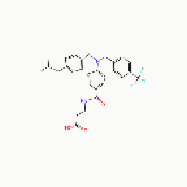 CC(C)Cc1ccc(CN(Cc2ccc(C(F)(F)F)cc2)c2ccc(C(=O)NCCC(=O)O)cc2)cc1